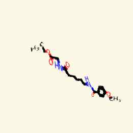 CCOC(=O)CNC(=O)CCCCCNC(=O)c1ccc(OC)cc1